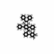 Fc1cc(-c2ccccc2-c2nc3ccccc3c3c2cc(-c2ccccc2)c2nc(-c4ccccc4)c(-c4ccccc4)nc23)cc(F)c1F